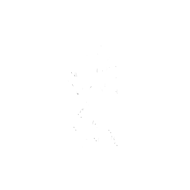 [N-]=[N+]=Nc1nc2c(ncn2[C@H]2C[C@@H](ON)[C@@H](COP(=O)(O)OP(=O)(O)OP(=O)(O)O)O2)c(=O)[nH]1